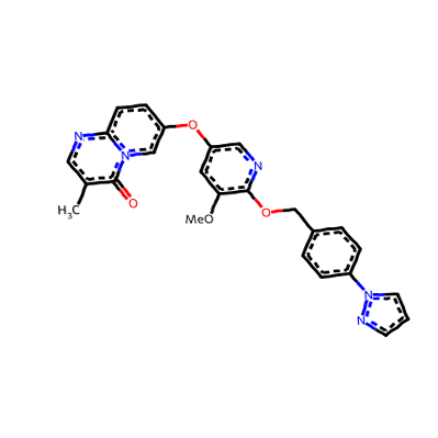 COc1cc(Oc2ccc3ncc(C)c(=O)n3c2)cnc1OCc1ccc(-n2cccn2)cc1